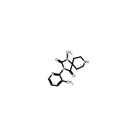 Cc1cccnc1N1C(=O)N(C)C2(CCNCC2)C1=O